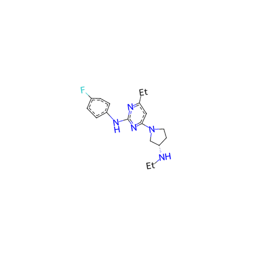 CCN[C@H]1CCN(c2cc(CC)nc(Nc3ccc(F)cc3)n2)C1